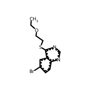 CCOCCSc1ncnc2ccc(Br)cc12